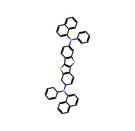 C1=CCC(N(c2cccc3ccccc23)C2C=Cc3c(sc4c3sc3cc(N(c5ccccc5)c5cccc6ccccc56)ccc34)C2)C=C1